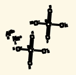 [Al+3].[Na+].[O]=[Cr](=[O])([O-])[O-].[O]=[Cr](=[O])([O-])[O-]